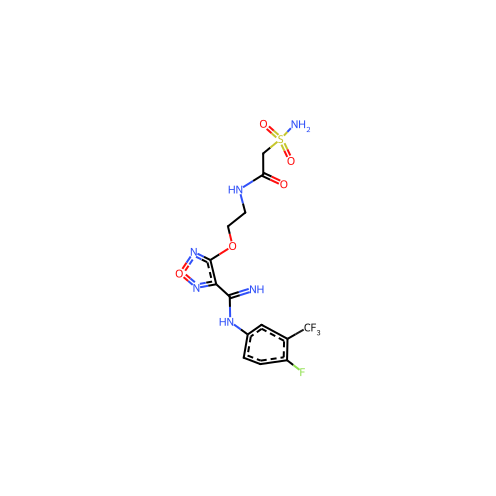 N=C(Nc1ccc(F)c(C(F)(F)F)c1)c1nonc1OCCNC(=O)CS(N)(=O)=O